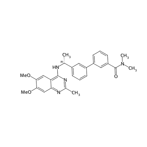 COc1cc2nc(C)nc(N[C@H](C)c3cccc(-c4cccc(C(=O)N(C)C)c4)c3)c2cc1OC